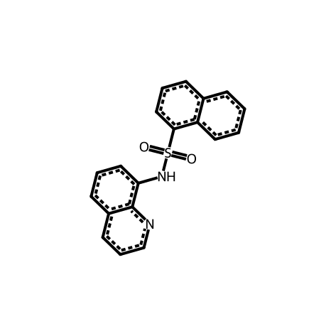 O=S(=O)(Nc1cccc2cccnc12)c1cccc2ccccc12